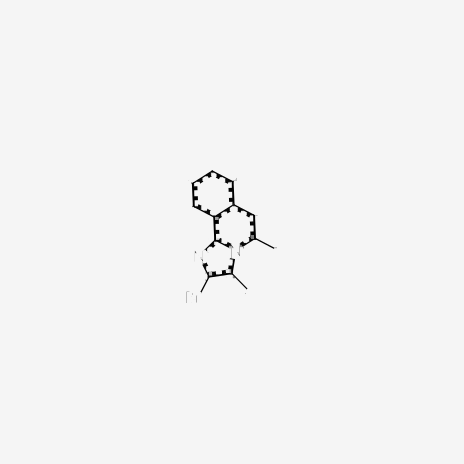 Cc1cc2ccccc2c2nc(Br)c(C)n12